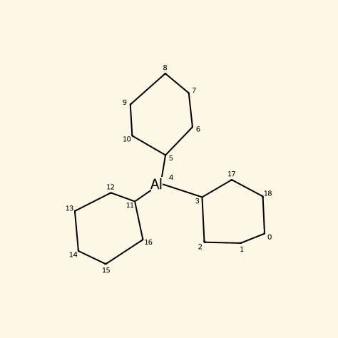 C1CC[CH]([Al]([CH]2CCCCC2)[CH]2CCCCC2)CC1